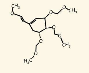 COC=CC1=C[C@@H](OCOC)[C@@H](OCOC)[C@H](OCOC)C1